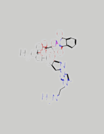 CC(C)(C)OC(=O)[C@H](COc1ccc(-n2cc[n+](CCCN)c2)nc1)ON1C(=O)c2ccccc2C1=O